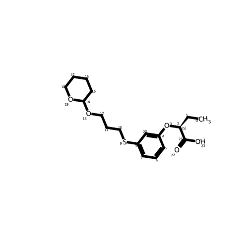 CC[C@H](Oc1cccc(SCCCOC2CCCCO2)c1)C(=O)O